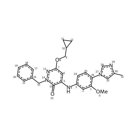 COc1cc(Nc2cc(OCC3CC3)nn(Cc3ccccc3)c2=O)ccc1-n1cnc(C)c1